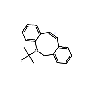 CC(C)(I)N1Cc2ccccc2/C=C\c2ccccc21